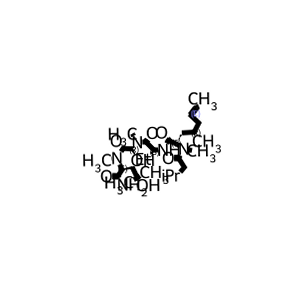 C/C=C/C[C@@H](C)C[C@@H](C(=O)N[C@@H](CC)C(=O)N(C)[C@H](O)C(=O)N(C)[C@@H](CC(C)(C)O)C(N)=O)N(C)C(=O)CC(C)C